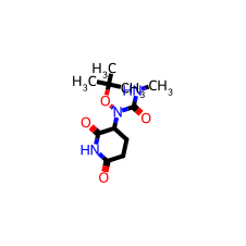 CNC(=O)N(OC(C)(C)C)C1CCC(=O)NC1=O